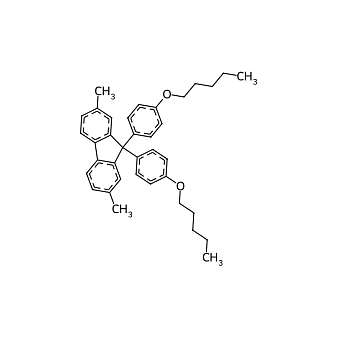 CCCCCOc1ccc(C2(c3ccc(OCCCCC)cc3)c3cc(C)ccc3-c3ccc(C)cc32)cc1